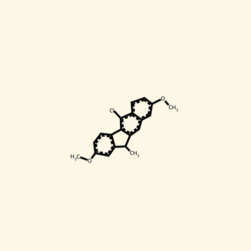 COc1ccc2c(c1)C(C)c1cc3cc(OC)ccc3c(Cl)c1-2